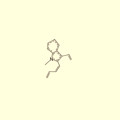 C=C/C=C\c1c(C=C)c2ccccc2n1C